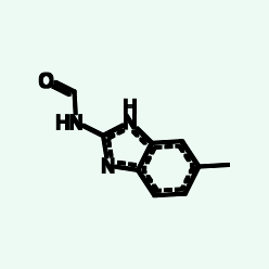 Cc1ccc2nc(NC=O)[nH]c2c1